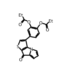 CCC(=O)Oc1ccc(-c2csc3c2-n2cccc2C3=O)cc1OC(=O)CC